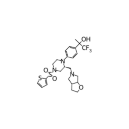 CC(O)(c1ccc(N2CCN(S(=O)(=O)c3cccs3)C[C@@H]2CN2CC3CCOC3C2)cc1)C(F)(F)F